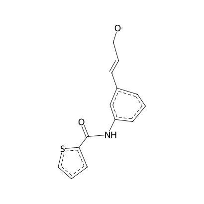 [O]CC=Cc1cccc(NC(=O)c2cccs2)c1